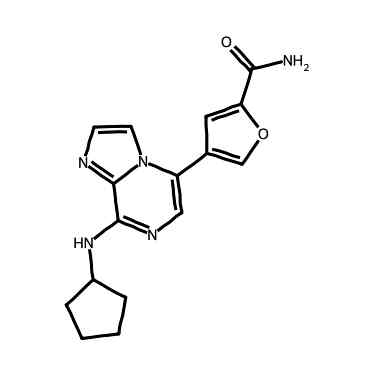 NC(=O)c1cc(-c2cnc(NC3CCCC3)c3nccn23)co1